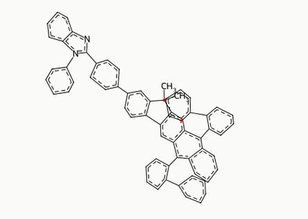 CC1(C)c2cc(-c3ccc(-c4nc5ccccc5n4-c4ccccc4)cc3)ccc2-c2cc3c(-c4ccccc4-c4ccccc4)c4ccccc4c(-c4ccccc4-c4ccccc4)c3cc21